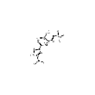 CC(C)c1cc(C(=O)NC(/C=C/C(C)(C)C)C(=O)O)n[nH]1